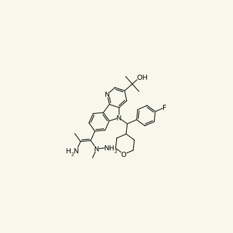 C/C(N)=C(\c1ccc2c3ncc(C(C)(C)O)cc3n(C(c3ccc(F)cc3)C3CCOCC3)c2c1)N(C)N